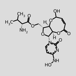 CC(C)[C@@H](N)C(=O)OC[C@H]1O[C@@H](n2ccc(NO)nc2=O)[C@@H]2OC(=O)/C=C\C(O)O[C@@H]21